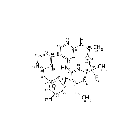 CCc1cc(Nc2cc(NC(C)=O)ncc2-c2ccnc(CN3C[C@H]4C[C@@H](C3)O4)n2)nc(C(C)(F)F)n1